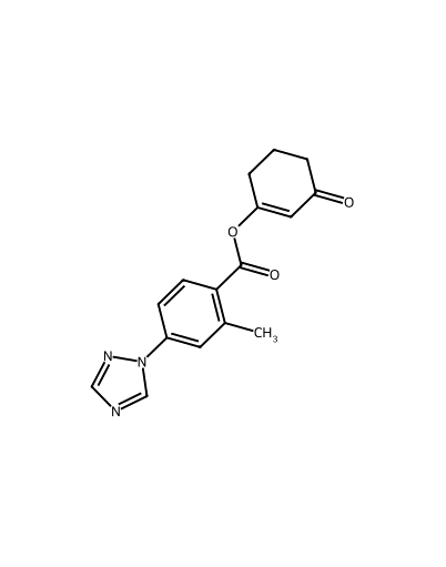 Cc1cc(-n2cncn2)ccc1C(=O)OC1=CC(=O)CCC1